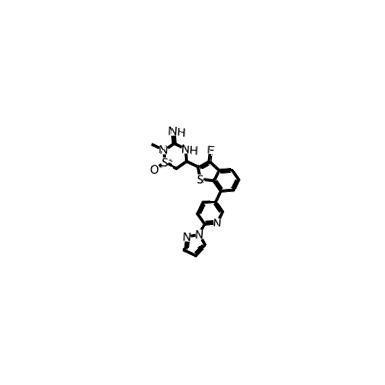 CN1C(=N)NC(c2sc3c(-c4ccc(-n5cccn5)nc4)cccc3c2F)C[S+]1[O-]